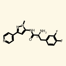 Cn1nc(-c2ccncc2)cc1NC(=O)[C@@H](N)Cc1ccc(F)c(F)c1